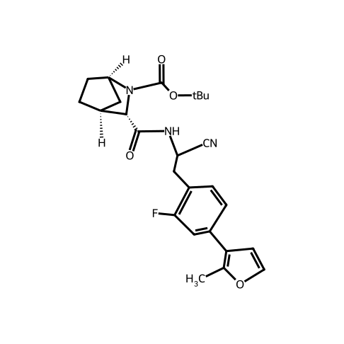 Cc1occc1-c1ccc(CC(C#N)NC(=O)[C@@H]2[C@H]3CC[C@H](C3)N2C(=O)OC(C)(C)C)c(F)c1